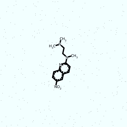 CN(C)CCN(C)c1ccc2cc([N+](=O)[O-])ccc2n1